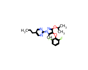 CCCc1cnc(-n2nc(OC(C)C)c(Oc3c(F)cccc3F)c2C)nc1